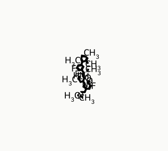 CC[C@H](NC(=O)C(CC(C)C)n1cc(CCN(C)C)cc(F)c1=O)c1cc(-c2c(C)cc(C)cc2C)cc(F)c1F